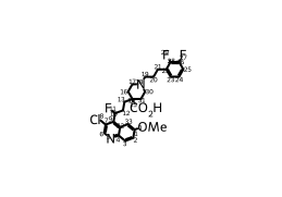 COc1ccc2ncc(Cl)c(C(F)CCC3(C(=O)O)CCN(CCCc4cccc(F)c4F)CC3)c2c1